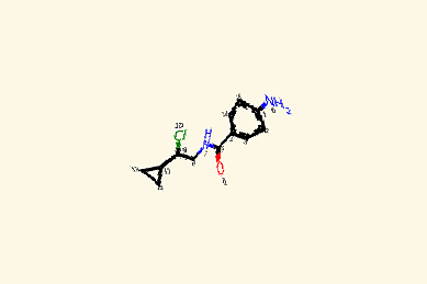 Nc1ccc(C(=O)NCC(Cl)C2CC2)cc1